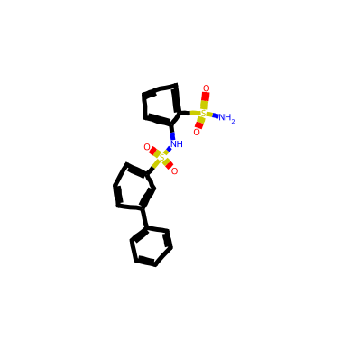 NS(=O)(=O)c1ccccc1NS(=O)(=O)c1cccc(-c2ccccc2)c1